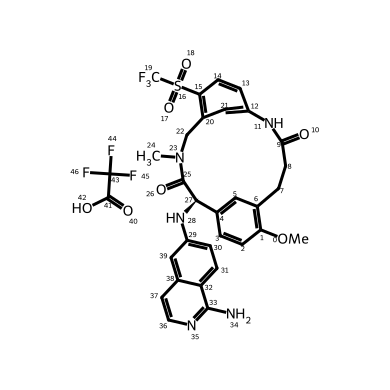 COc1ccc2cc1CCC(=O)Nc1ccc(S(=O)(=O)C(F)(F)F)c(c1)CN(C)C(=O)[C@@H]2Nc1ccc2c(N)nccc2c1.O=C(O)C(F)(F)F